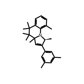 Cc1cc(C)cc(C2=CC3(C)N(c4c(C)cccc4C(C)(C)C3(C)C)[C@H]2C)c1